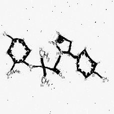 COc1cc(Cl)ccc1OC(C)(C)C(=O)N1N=CCC1c1ccc(C)cc1